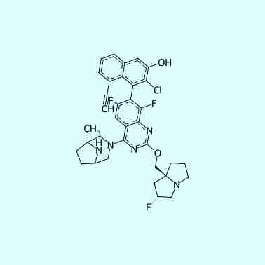 C#Cc1cccc2cc(O)c(Cl)c(-c3c(F)cc4c(N5CC6CC[C@@](C)(C5)N6)nc(OC[C@@]56CCCN5C[C@H](F)C6)nc4c3F)c12